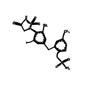 Cc1ccc(CS(N)(=O)=O)c(Cc2cc(O)c(N3CC(=O)NS3(=O)=O)c(F)c2)c1